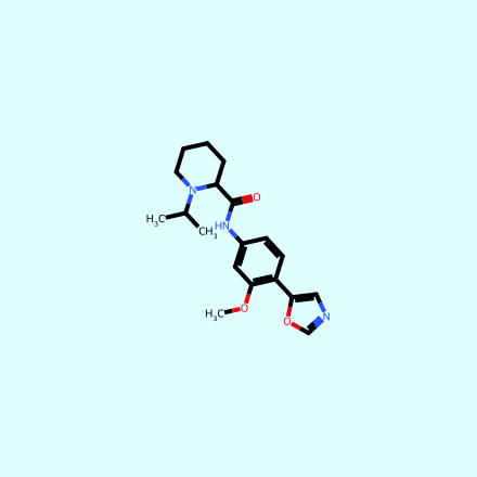 COc1cc(NC(=O)C2CCCCN2C(C)C)ccc1-c1cnco1